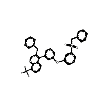 O=S(=O)(Cc1ccccc1)c1cccc(Oc2cccc(-c3c(Cc4ccccc4)cnc4c(C(F)(F)F)cccc34)c2)c1